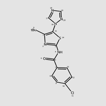 CC(C)(C)c1nc(NC(=O)c2ccc(Cl)cc2)sc1-n1cncn1